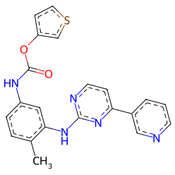 Cc1ccc(NC(=O)Oc2ccsc2)cc1Nc1nccc(-c2cccnc2)n1